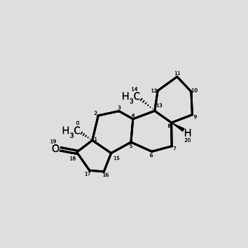 C[C@]12CCC3C(CC[C@H]4CCCC[C@]34C)C1CCC2=O